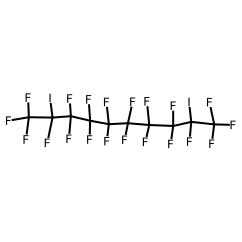 FC(F)(F)C(F)(I)C(F)(F)C(F)(F)C(F)(F)C(F)(F)C(F)(F)C(F)(F)C(F)(I)C(F)(F)F